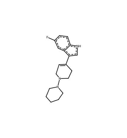 Fc1ccc2[nH]cc(C3=CCN(N4CCCCC4)CC3)c2c1